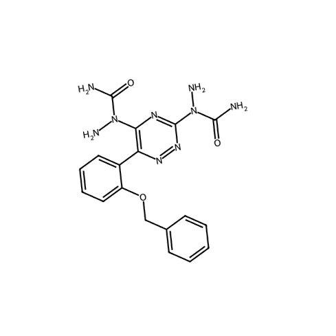 NC(=O)N(N)c1nnc(-c2ccccc2OCc2ccccc2)c(N(N)C(N)=O)n1